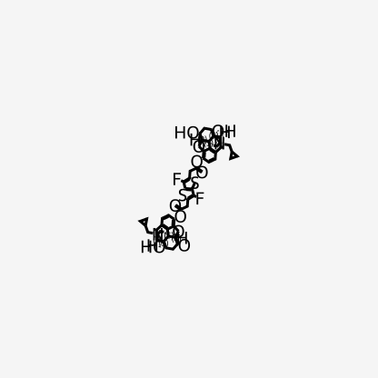 O=C(Cc1sc2c(F)c(CC(=O)Oc3ccc4c5c3O[C@H]3C(O)CC[C@@]6(O)[C@@H](C4)N(CC4CC4)CC[C@]536)sc2c1F)Oc1ccc2c3c1O[C@H]1C(=O)CC[C@@]4(O)[C@@H](C2)N(CC2CC2)CC[C@]314